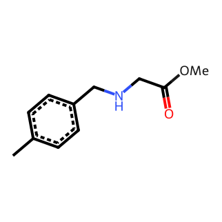 COC(=O)CNCc1ccc(C)cc1